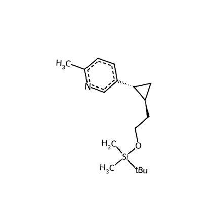 Cc1ccc([C@@H]2C[C@H]2CCO[Si](C)(C)C(C)(C)C)cn1